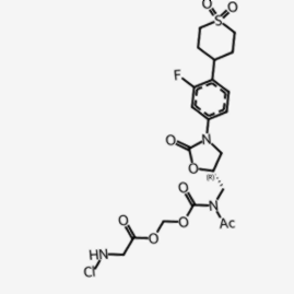 CC(=O)N(C[C@H]1CN(c2ccc(C3CCS(=O)(=O)CC3)c(F)c2)C(=O)O1)C(=O)OCOC(=O)CNCl